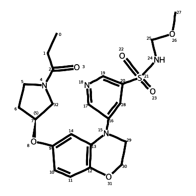 CCC(=O)N1CC[C@H](Oc2ccc3c(c2)N(c2cncc(S(=O)(=O)NCOC)c2)CCO3)C1